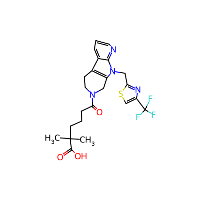 CC(C)(CCCC(=O)N1CCc2c(n(Cc3nc(C(F)(F)F)cs3)c3ncccc23)C1)C(=O)O